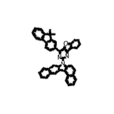 CC1(C)c2ccccc2-c2ccc(-c3nc(-n4c5cc6ccccc6cc5c5c6ccccc6ccc54)nc4c3oc3ccccc34)cc21